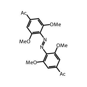 COc1cc(C(C)=O)cc(OC)c1/N=N/c1c(OC)cc(C(C)=O)cc1OC